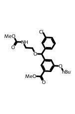 CCCCOc1cc(C(=O)OC)cc(C(OCCNC(=O)OC)c2cccc(Cl)c2)c1